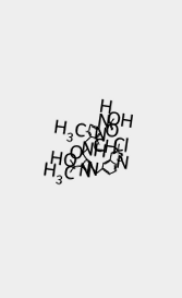 Cc1cc(NC(=O)O)nc(C)c1CNC(=O)c1cn(Cc2ccc3ncc(Cl)cc3c2)nc1C(C)O